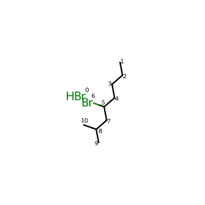 Br.CCCCC(Br)CC(C)C